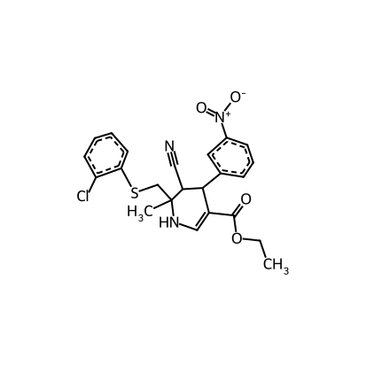 CCOC(=O)C1=CNC(C)(CSc2ccccc2Cl)C(C#N)C1c1cccc([N+](=O)[O-])c1